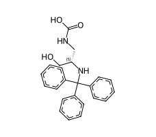 O=C(O)NC[C@@H](CO)NC(c1ccccc1)(c1ccccc1)c1ccccc1